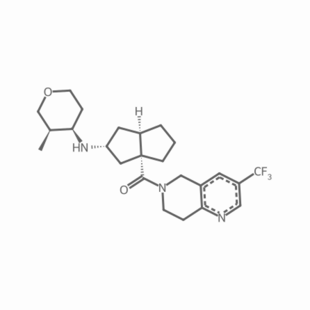 C[C@H]1COCC[C@H]1N[C@@H]1C[C@H]2CCC[C@@]2(C(=O)N2CCc3ncc(C(F)(F)F)cc3C2)C1